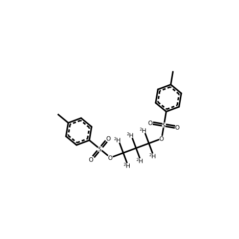 [2H]C([2H])(OS(=O)(=O)c1ccc(C)cc1)C([2H])([2H])C([2H])([2H])OS(=O)(=O)c1ccc(C)cc1